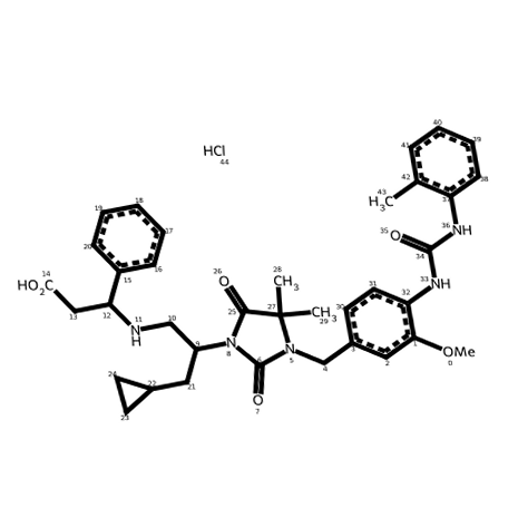 COc1cc(CN2C(=O)N(C(CNC(CC(=O)O)c3ccccc3)CC3CC3)C(=O)C2(C)C)ccc1NC(=O)Nc1ccccc1C.Cl